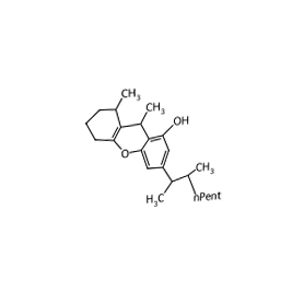 CCCCCC(C)C(C)c1cc(O)c2c(c1)OC1=C(C(C)CCC1)C2C